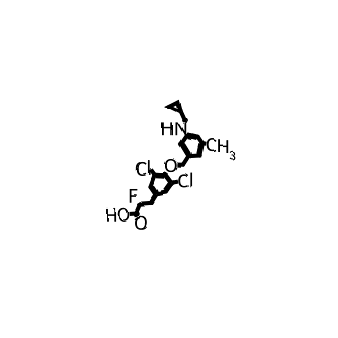 Cc1cc(COc2c(Cl)cc(CC(F)C(=O)O)cc2Cl)cc(NCC2CC2)c1